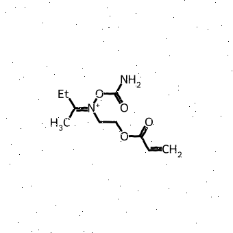 C=CC(=O)OCC[N+](OC(N)=O)=C(C)CC